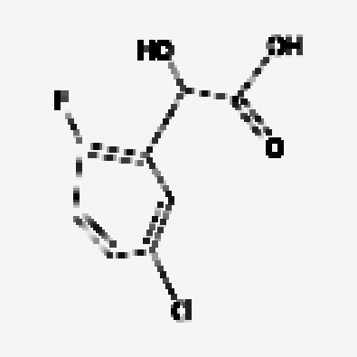 O=C(O)C(O)c1cc(Cl)ccc1F